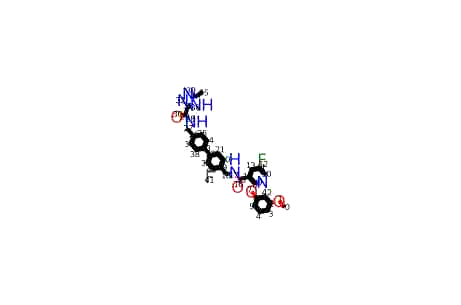 COc1cccc(Oc2ncc(F)cc2C(=O)NCc2ccc(-c3ccc(CNC(=O)c4nnc(C)[nH]4)cc3)cc2F)c1